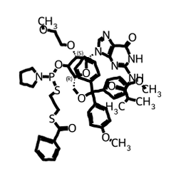 COCCO[C@H]1C(OP(SCCSC(=O)c2ccccc2)N2CCCC2)[C@@H](COC(c2ccccc2)(c2ccc(OC)cc2)c2ccc(OC)cc2)O[C@H]1n1cnc2c(=O)[nH]c(NC(=O)C(C)C)nc21